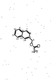 CC(C)C(=O)OCc1ccc2ccccc2c1